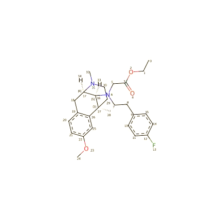 CCOC(=O)CN(CCc1ccc(F)cc1)[C@@H]1[C@H]2Cc3ccc(OC)cc3[C@]1(C)CCN2C